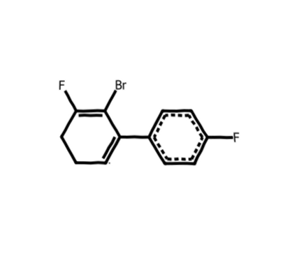 FC1=C(Br)C(c2ccc(F)cc2)=[C]CC1